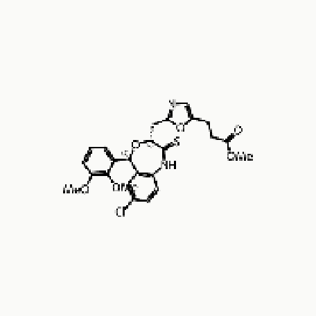 COC(=O)CCc1cnc(C[C@H]2O[C@H](c3cccc(OC)c3OC)c3cc(Cl)ccc3NC2=S)o1